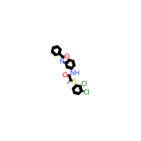 C[C@@H](Sc1cccc(Cl)c1Cl)C(=O)Nc1ccc2oc(-c3ccccc3)nc2c1